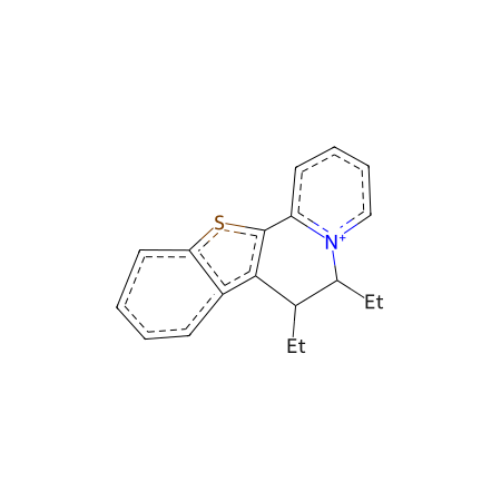 CCC1c2c(sc3ccccc23)-c2cccc[n+]2C1CC